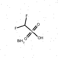 O=S(=O)(O)C(F)F.[BiH3]